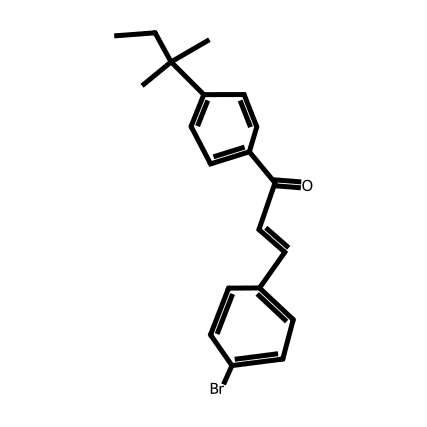 CCC(C)(C)c1ccc(C(=O)/C=C/c2ccc(Br)cc2)cc1